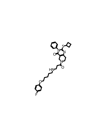 O=C(CCNCCCCCOc1ccc(F)cc1)N1CCc2nc(SC3CCC3)n(-c3ccccc3)c(=O)c2C1